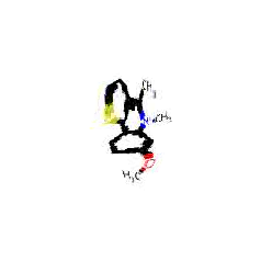 COc1ccc2c3sccc3c(C)[n+](C)c2c1